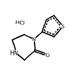 Cl.O=C1CNCCN1c1ccsc1